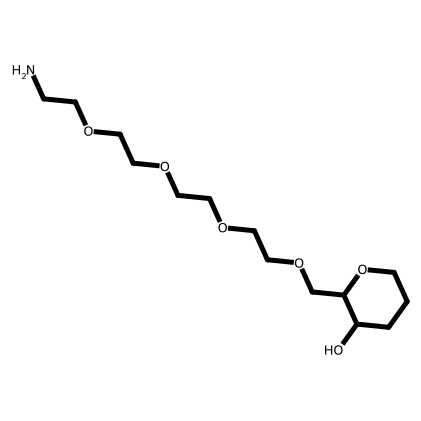 NCCOCCOCCOCCOCC1OCCCC1O